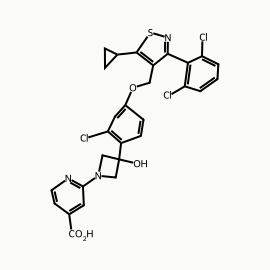 O=C(O)c1ccnc(N2CC(O)(c3ccc(OCc4c(-c5c(Cl)cccc5Cl)nsc4C4CC4)cc3Cl)C2)c1